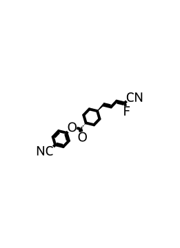 N#CC(F)=CC=C[C@H]1CC[C@H](C(=O)Oc2ccc(C#N)cc2)CC1